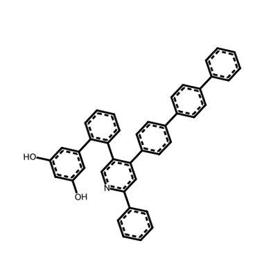 Oc1cc(O)cc(-c2ccccc2-c2cnc(-c3ccccc3)cc2-c2ccc(-c3ccc(-c4ccccc4)cc3)cc2)c1